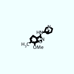 COc1c(C)ccc2c(NC3CN4CCC3CC4)noc12